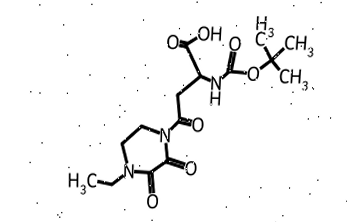 CCN1CCN(C(=O)CC(NC(=O)OC(C)(C)C)C(=O)O)C(=O)C1=O